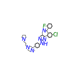 Fc1ccccc1C1=NCc2cnc(Nc3ccc(C4CN(CCCN5CCCC5)CC[N]4)cc3)nc2-c2ccc(Cl)cc21